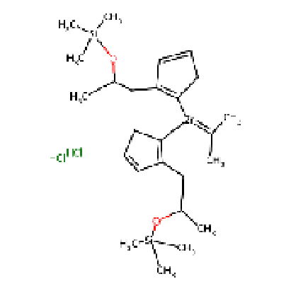 C[C](C)=[Zr]([C]1=C(CC(C)O[Si](C)(C)C)C=CC1)[C]1=C(CC(C)O[Si](C)(C)C)C=CC1.Cl.Cl